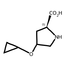 O=C(O)[C@@H]1CC(OC2CC2)CN1